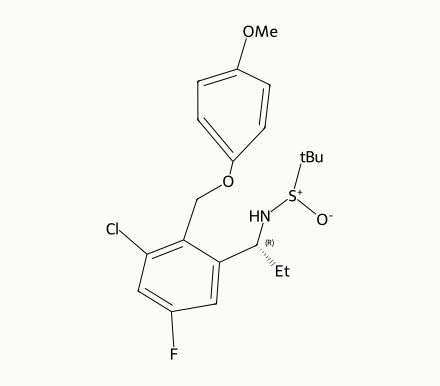 CC[C@@H](N[S+]([O-])C(C)(C)C)c1cc(F)cc(Cl)c1COc1ccc(OC)cc1